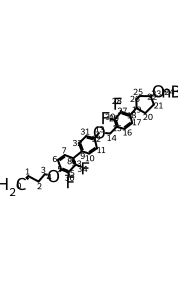 C=CCCOc1ccc(-c2ccc(OCc3ccc(C4CCC(OCCCC)CC4)c(F)c3F)cc2)c(F)c1F